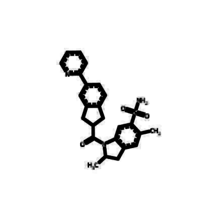 Cc1cc2c(cc1S(N)(=O)=O)N(C(=O)C1Cc3ccc(-c4ccccn4)cc3C1)C(C)C2